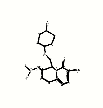 CCC1CCC(OCC2C(N[S+](C)[O-])CCc3ccc(C#N)c(=O)n32)CC1